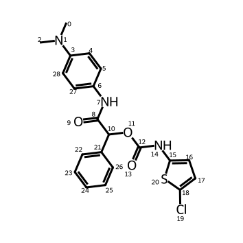 CN(C)c1ccc(NC(=O)C(OC(=O)Nc2ccc(Cl)s2)c2ccccc2)cc1